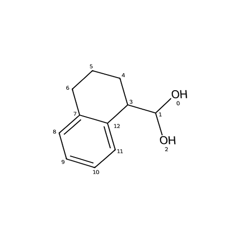 OC(O)C1CCCc2ccccc21